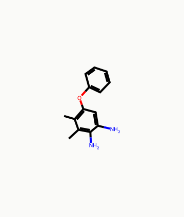 Cc1c(Oc2ccccc2)cc(N)c(N)c1C